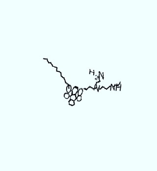 CCCCCCCCCCCCOc1ccc(OCCCCN(CCCN)CCCCNCCC)c2c1C(=O)c1ccccc1C2=O